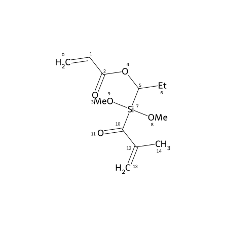 C=CC(=O)OC(CC)[Si](OC)(OC)C(=O)C(=C)C